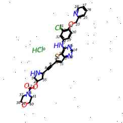 Cl.O=C(OC1CNC(C#Cc2cc3ncnc(Nc4ccc(OCc5ccccn5)c(Cl)c4)c3s2)C1)N1CCOCC1